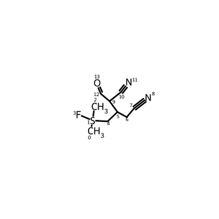 CS(C)(F)CC(CC#N)C(C#N)C=O